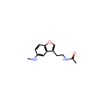 CNc1ccc2occ(CCNC(C)=O)c2c1